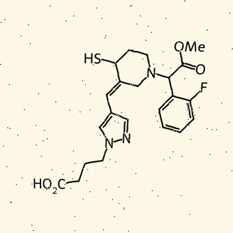 COC(=O)C(c1ccccc1F)N1CCC(S)/C(=C/c2cnn(CCCC(=O)O)c2)C1